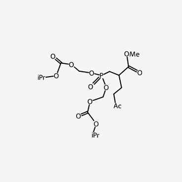 COC(=O)C(CCC(C)=O)CP(=O)(OCOC(=O)OC(C)C)OCOC(=O)OC(C)C